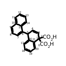 O=C(O)C1(C(=O)O)C=CC(c2cccc3ccccc23)c2ccccc21